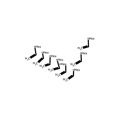 C=CCCCCCC.C=CCCCCCC.C=CCCCCCC.C=CCCCCCC.C=CCCCCCC.C=CCCCCCC.C=CCCCCCC.C=CCCCCCC